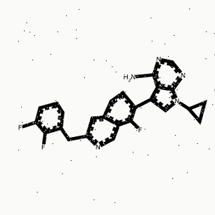 Nc1ncnc2c1c(-c1ccc3cc(Cc4cccc(F)c4F)ncc3c1F)cn2C1CC1